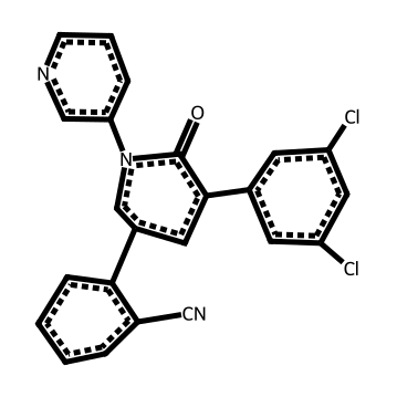 N#Cc1ccccc1-c1cc(-c2cc(Cl)cc(Cl)c2)c(=O)n(-c2cccnc2)c1